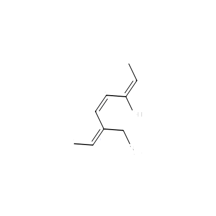 C\C=C(O)/C=C\C(=C/C)CN